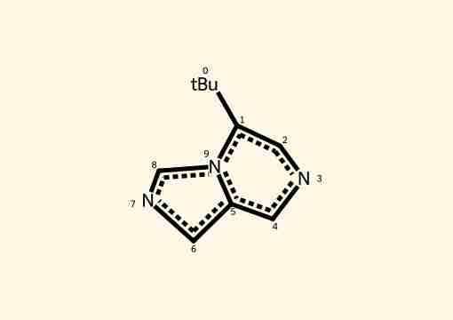 CC(C)(C)c1cncc2cncn12